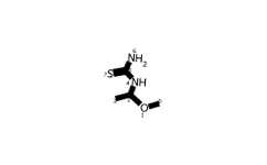 COC(C)NC(N)=S